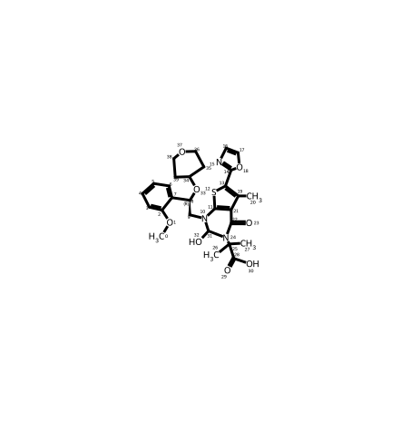 COc1ccccc1[C@H](CN1c2sc(-c3ncco3)c(C)c2C(=O)N(C(C)(C)C(=O)O)C1O)OC1CCOCC1